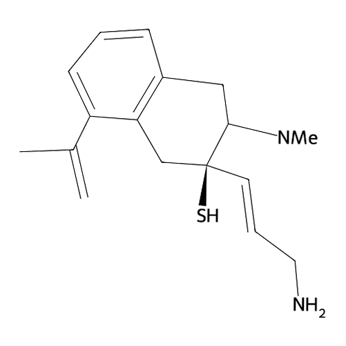 C=C(C)c1cccc2c1C[C@@](S)(/C=C/CN)C(NC)C2